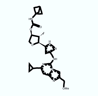 COCc1cn2c(Nc3cc([C@H]4OC[C@@H](OC(=O)NC56CC(C5)C6)[C@@H]4F)[nH]n3)nc(C3CC3)cc2n1